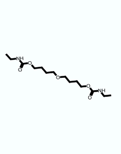 CCNC(=O)OCCCCOCCCCOC(=O)NCC